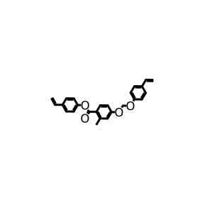 C=Cc1ccc(OCOc2ccc(C(=O)Oc3ccc(C=C)cc3)c(C)c2)cc1